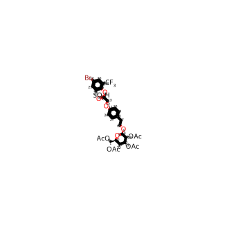 CC(=O)OC[C@H]1O[C@@H](OCCc2ccc(OCC(=O)Oc3c(C(F)(F)F)cc(Br)cc3S(=O)(=O)O)cc2)[C@H](OC(C)=O)[C@@H](OC(C)=O)[C@@H]1OC(C)=O